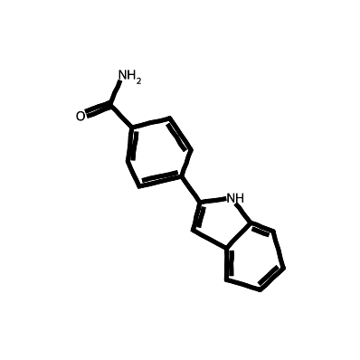 NC(=O)c1ccc(-c2cc3ccccc3[nH]2)cc1